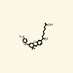 C=C(O)CCCCCC(CC)c1ccc2c(c1)OC1C=C(NC3C=CC(N)=CC3)CC(C)(C)C1=C2